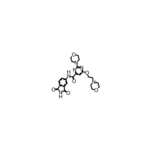 O=C(Nc1ccc2c(c1)C(=O)NC2=O)c1cc(OCCN2CCOCC2)nc(N2CCOCC2)n1